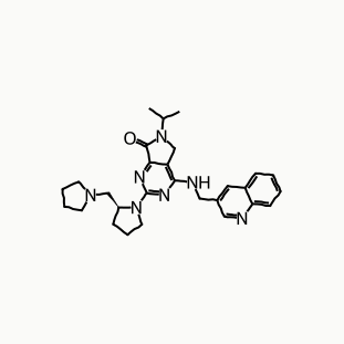 CC(C)N1Cc2c(NCc3cnc4ccccc4c3)nc(N3CCC[C@H]3CN3CCCC3)nc2C1=O